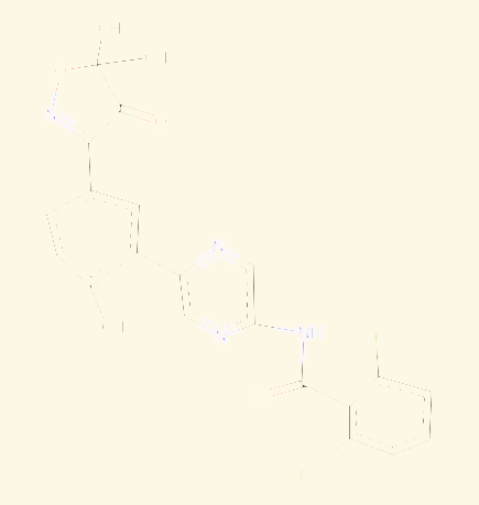 Cc1ccc(C2=NOC(C)(C)C2=O)cc1-c1cnc(NC(=O)c2c(F)cccc2F)cn1